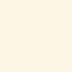 O=C(O)C(S)SCCO